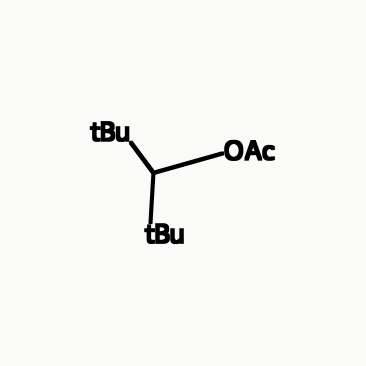 CC(=O)OC(C(C)(C)C)C(C)(C)C